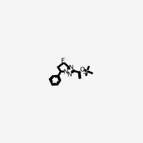 C=C(O[Si](C)(C)C)c1nc2n(n1)C(c1ccccc1)CC2F